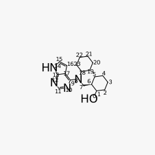 OC1CCCC[C@@H]1CN(c1ncnc2[nH]ccc12)C1CCCCC1